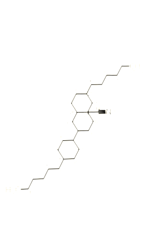 CCCCCCC1CCC(C2CCC3(C#N)CC(CCCCCC)CCC3C2)CC1